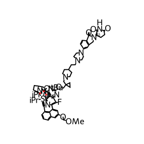 COCOc1cc(-c2ncc3c(N4CC5CCC(C4)N5C(=O)OC(C)(C)C)nc(OCC4(CN5CCC(CCN6CCN(c7ccc8c(c7)CN([C@H]7CCC(=O)NC7=O)C8=O)CC6)CC5)CC4)nc3c2F)c2c(C#C[Si](C(C)C)(C(C)C)C(C)C)cccc2c1